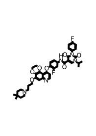 CC(C)n1cc(C(=O)NC2C=CC(Oc3ccnc4cc(OCCCN5CCC(C)(C)CC5)c5c(c34)OCCO5)=C(F)C2)c(=O)n(-c2ccc(F)cc2)c1=O